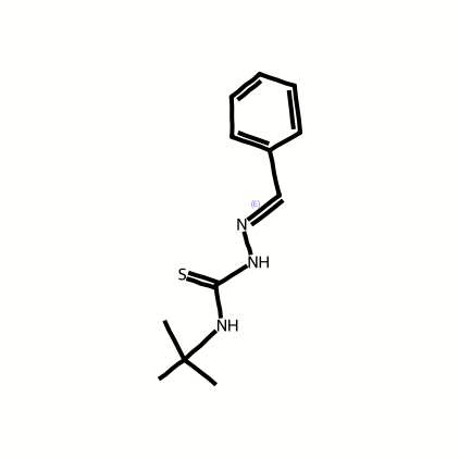 CC(C)(C)NC(=S)N/N=C/c1ccccc1